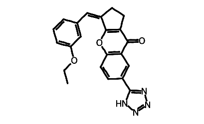 CCOc1cccc(/C=C2/CCc3c2oc2ccc(-c4nnn[nH]4)cc2c3=O)c1